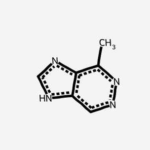 Cc1nncc2[nH]cnc12